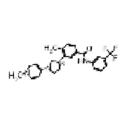 Cc1ccc(C(=O)Nc2cccc(C(F)(F)F)c2)cc1[C@H]1CCN(C2=CCN(C)C=C2)C1